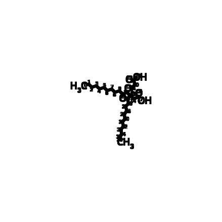 CCCCCCCCCCCC(=O)C(CC(=O)O)(SCCC(=O)O)C(=O)CCCCCCCCCCC